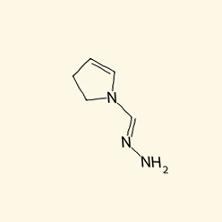 NN=CN1C=CCC1